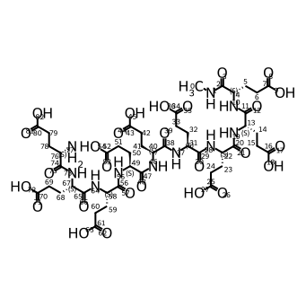 CNC(=O)[C@H](CCC(=O)O)NC(=O)[C@H](CCC(=O)O)NC(=O)[C@H](CCC(=O)O)NC(=O)[C@H](CCC(=O)O)NC(=O)[C@H](CCC(=O)O)NC(=O)[C@H](CCC(=O)O)NC(=O)[C@H](CCC(=O)O)NC(=O)[C@H](CCC(=O)O)NC(=O)[C@@H](N)CCC(=O)O